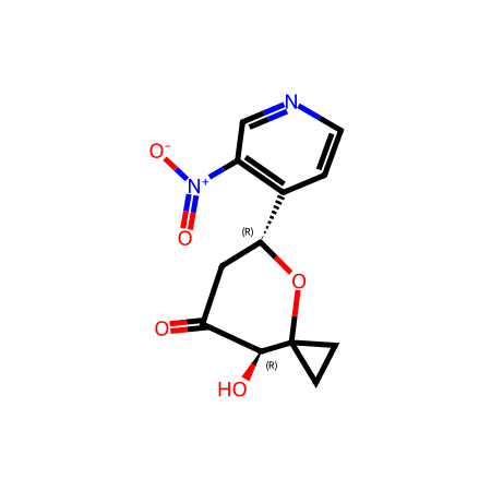 O=C1C[C@H](c2ccncc2[N+](=O)[O-])OC2(CC2)[C@H]1O